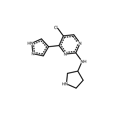 Clc1cnc(NC2CCNC2)nc1-c1cn[nH]c1